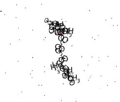 C[C@]12C=CC(=O)C=C1CC[C@@H]1[C@@H]2C(=O)C[C@@]2(C)[C@H]1CC[C@]2(O)C(=O)COC(=O)CCC(=O)OC(=O)CCC(=O)OCC(=O)[C@]1(O)CC[C@@H]2[C@H]3CCC4=CC(=O)C=C[C@@]4(C)C3C(=O)C[C@]21C